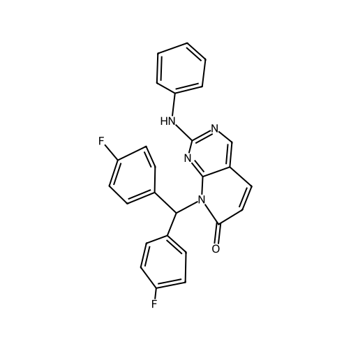 O=c1ccc2cnc(Nc3ccccc3)nc2n1C(c1ccc(F)cc1)c1ccc(F)cc1